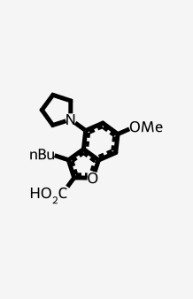 CCCCc1c(C(=O)O)oc2cc(OC)cc(N3CCCC3)c12